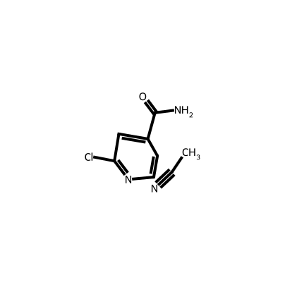 CC#N.NC(=O)c1ccnc(Cl)c1